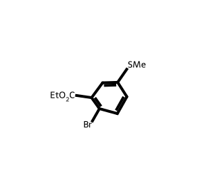 CCOC(=O)c1cc(SC)ccc1Br